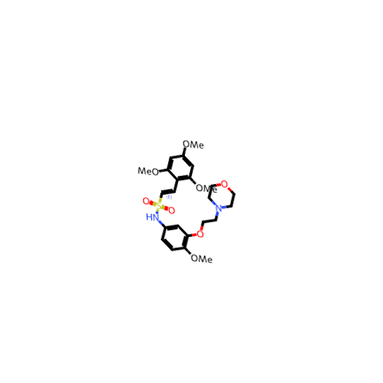 COc1cc(OC)c(/C=C/S(=O)(=O)Nc2ccc(OC)c(OCCN3CCOCC3)c2)c(OC)c1